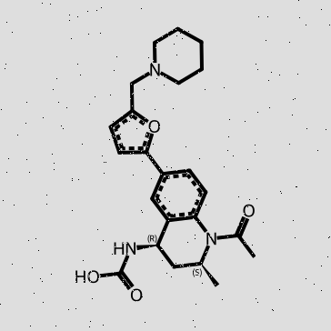 CC(=O)N1c2ccc(-c3ccc(CN4CCCCC4)o3)cc2[C@H](NC(=O)O)C[C@@H]1C